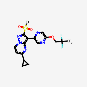 CCS(=O)(=O)c1nn2ccc(C3CC3)nc2c1-c1cnc(OCC(F)(F)C(F)(F)F)cn1